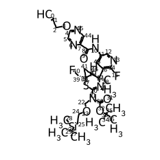 C#CCOc1cnc(C(=O)Nc2cnc(F)c([C@@]3(C)N=C(N(COCC[Si](C)(C)C)C(=O)OC(C)(C)C)S[C@@]4(CF)C[C@H]43)c2)cn1